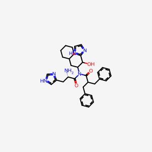 N[C@@H](Cc1c[nH]cn1)C(=O)N(C(=O)C(Cc1ccccc1)Cc1ccccc1)C(CC1CCCCC1)C(O)c1ncc[nH]1